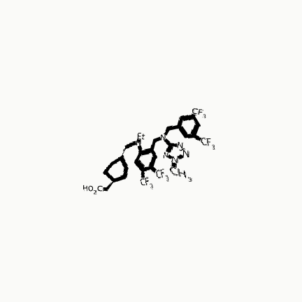 CCN(C[C@H]1CC[C@H](CC(=O)O)CC1)c1cc(C(F)(F)F)c(C(F)(F)F)cc1CN(Cc1cc(C(F)(F)F)cc(C(F)(F)F)c1)c1nnn(C)n1